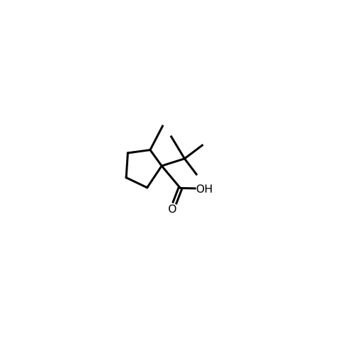 CC1CCCC1(C(=O)O)C(C)(C)C